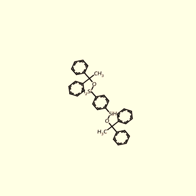 CC(O[SiH2]c1ccc([SiH2]OC(C)(c2ccccc2)c2ccccc2)cc1)(c1ccccc1)c1ccccc1